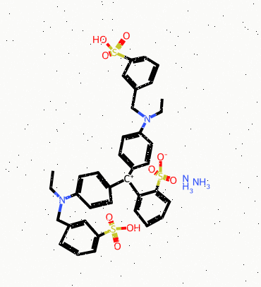 CCN(Cc1cccc(S(=O)(=O)O)c1)c1ccc([C+](c2ccc(N(CC)Cc3cccc(S(=O)(=O)O)c3)cc2)c2ccccc2S(=O)(=O)[O-])cc1.N.N